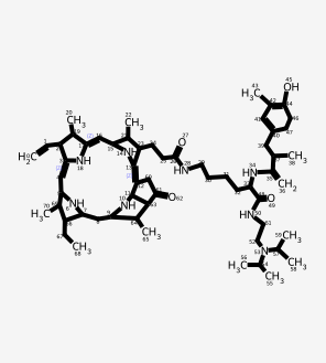 C=CC1/C2=C/C3NC(CC4NC5/C(=C6\NC(/C=C(\N2)C1C)C(C)C6CCC(=O)NCCCCC(NC(=C)C(C)CC1=CC(C)=C(O)CC1)C(=O)NCCN(C(C)C)C(C)C)CC(=O)C5C4C)C(CC)C3C